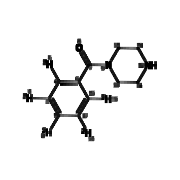 [2H]c1c([2H])c([2H])c(C(=O)N2CCNCC2)c([2H])c1[2H]